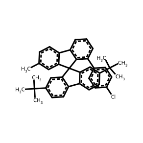 Cc1ccc2c(c1)C1(c3cc(C(C)(C)C)ccc3-c3ccc(C(C)(C)C)cc31)c1c(-c3ccc(Cl)cc3)cccc1-2